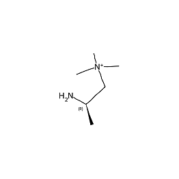 C[C@@H](N)C[N+](C)(C)C